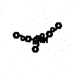 O=C(Cc1ccc(OCc2ccccc2)cc1)Nc1ncc(-c2ccc(OCc3ccccc3)cc2)nc1Cc1ccccc1